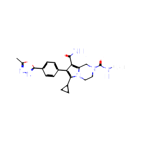 Cc1nnc(-c2ccc(-c3c(C(N)=O)c4n(c3C3CC3)CCN(C(=O)NC(C)(C)C)C4)cc2)o1